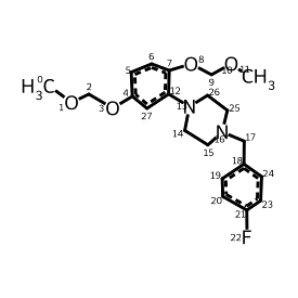 COCOc1ccc(OCOC)c(N2CCN(Cc3ccc(F)cc3)CC2)c1